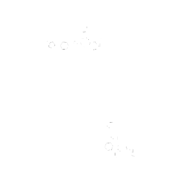 Cc1ncsc1-c1ccc(CNC(=O)[C@@H]2C[C@@H](O)CN2C(=O)[C@@H](NC(=O)COCCCCCOCCOCCCCCOCC(=O)NCCNc2cccc3c2C(=O)N(C2CCC(=O)NC2=O)C3=O)C(C)(C)C)cc1